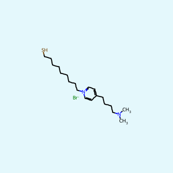 CN(C)CCCCc1cc[n+](CCCCCCCCCS)cc1.[Br-]